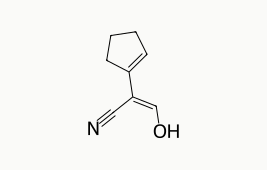 N#CC(=CO)C1=CCCC1